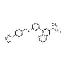 CC(C)c1cc(-c2cccc(OCc3ccc(C4CSN=N4)cc3)c2)c2ncccc2c1